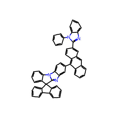 c1ccc(-n2c(-c3ccc4c(-c5ccc6c(c5)nc5n6-c6ccccc6C56c5ccccc5-c5ccccc56)c5ccccc5cc4c3)nc3ccccc32)cc1